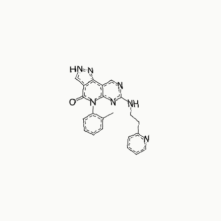 Cc1ccccc1-n1c(=O)c2c[nH]nc2c2cnc(NCCc3ccccn3)nc21